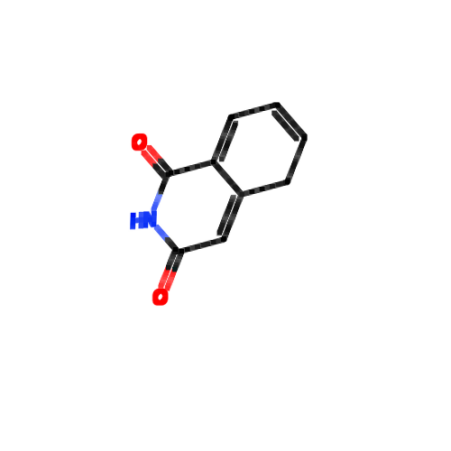 O=C1C=C2CC=CC=C2C(=O)N1